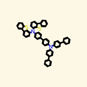 c1ccc(-c2ccc(N(c3ccc(-c4ccccc4)cc3)c3ccc(-c4ccc(N(c5cccc6c5sc5ccccc56)c5cccc6c5sc5ccccc56)cc4)cc3)cc2)cc1